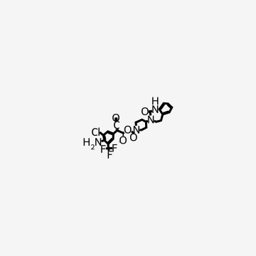 CO[C@H](OC(=O)N1CCC(N2CCc3ccccc3NC2=O)CC1)C(=C=O)c1cc(Cl)c(N)c(C(F)(F)F)c1